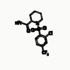 CCCC(=O)C1CCCCN1S(=O)(=O)c1ccc(C(F)(F)F)cc1Cl